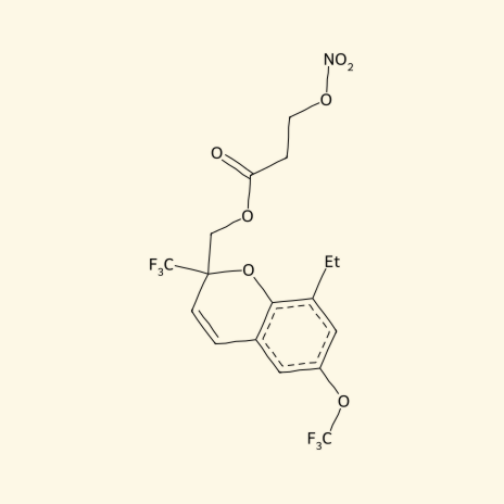 CCc1cc(OC(F)(F)F)cc2c1OC(COC(=O)CCO[N+](=O)[O-])(C(F)(F)F)C=C2